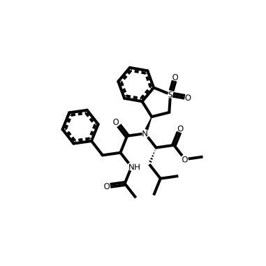 COC(=O)[C@H](CC(C)C)N(C(=O)C(Cc1ccccc1)NC(C)=O)[C@@H]1CS(=O)(=O)c2ccccc21